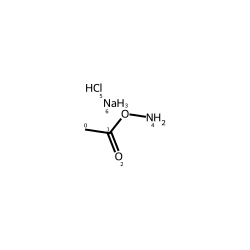 CC(=O)ON.Cl.[NaH]